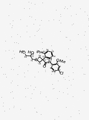 COc1cc(Cl)ncc1NC(=O)C1(c2ccccc2C(C)C)CN(CC(O)CO)C1